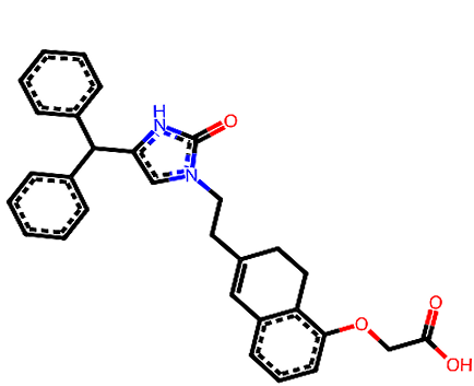 O=C(O)COc1cccc2c1CCC(CCn1cc(C(c3ccccc3)c3ccccc3)[nH]c1=O)=C2